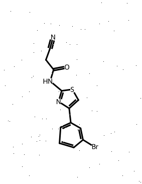 N#CCC(=O)Nc1nc(-c2cccc(Br)c2)cs1